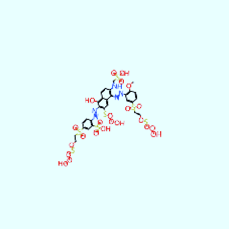 COc1ccc(S(=O)(=O)CCOSOOO)cc1/N=N/c1c(NCS(=O)(=O)O)ccc2c(O)c(/N=N/c3ccc(S(=O)(=O)CCOSOOO)cc3S(=O)(=O)O)c(SOOO)cc12